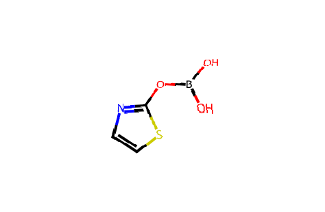 OB(O)Oc1nccs1